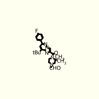 CC(C)(C)c1cc(-c2ccc(F)cc2)nn2cc(C(=O)N3CCN(C=O)CC3(C)C)nc12